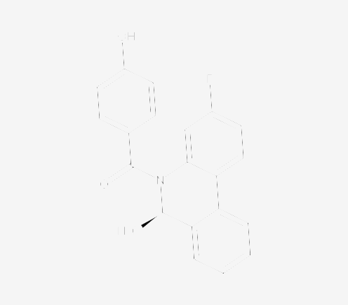 C[C@@H]1c2ccccc2-c2ccc(F)cc2N1C(=O)c1ccc(O)cc1